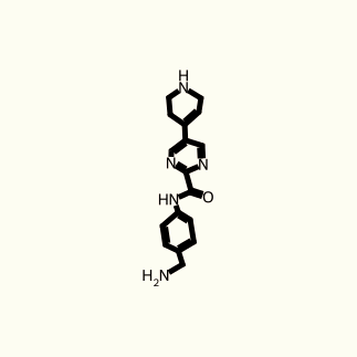 NCc1ccc(NC(=O)c2ncc(C3=CCNCC3)cn2)cc1